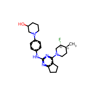 C[C@H]1CCN(c2nc(Nc3ccc(N4CCCC(O)C4)cc3)nc3c2CCC3)C[C@@H]1F